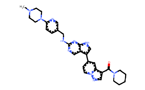 CN1CCN(c2ccc(CNc3ncc4c(-c5ccn6ncc(C(=O)N7CCCCC7)c6c5)c[nH]c4n3)cn2)CC1